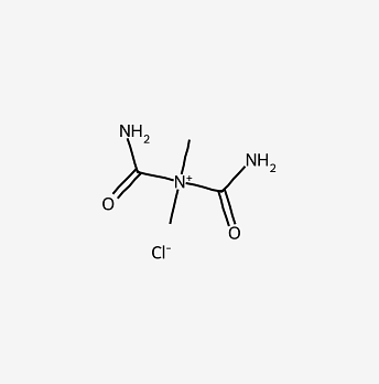 C[N+](C)(C(N)=O)C(N)=O.[Cl-]